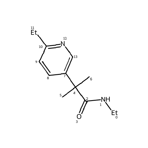 CCNC(=O)C(C)(C)c1ccc(CC)nc1